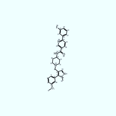 COc1cccc(-c2c(CN3CCC(NC(=O)c4ccc(-c5cccc(F)c5)nc4)CC3)cnn2C)c1